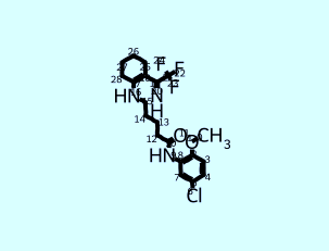 COc1ccc(Cl)cc1NC(=O)CCCCNC1=C(C(=N)C(F)(F)F)CCCC1